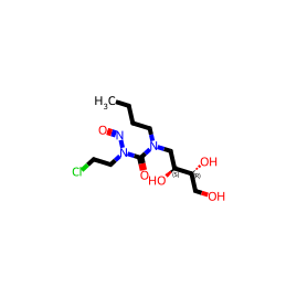 CCCCN(C[C@H](O)[C@H](O)CO)C(=O)N(CCCl)N=O